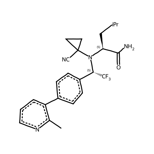 Cc1ncccc1-c1ccc([C@H](N([C@@H](CC(C)C)C(N)=O)C2(C#N)CC2)C(F)(F)F)cc1